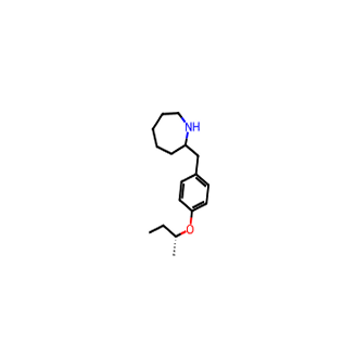 CC[C@@H](C)Oc1ccc(CC2CCCCCN2)cc1